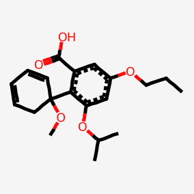 CCCOc1cc(OC(C)C)c(C2(OC)C=CC=CC2)c(C(=O)O)c1